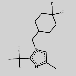 Cc1cn(CC2CCC(F)(F)CC2)c(C(C)(F)F)n1